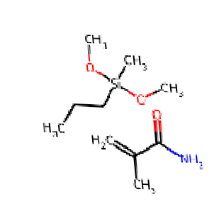 C=C(C)C(N)=O.CCC[Si](C)(OC)OC